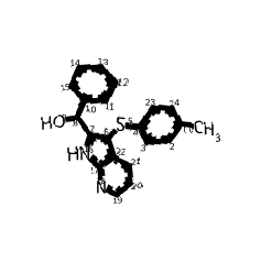 Cc1ccc(Sc2c(C(O)c3ccccc3)[nH]c3ncccc23)cc1